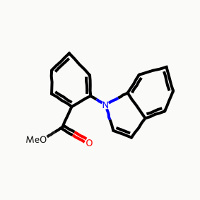 COC(=O)c1ccccc1-n1ccc2ccccc21